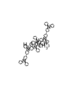 CC1(C)c2cc(N(c3ccccc3)c3ccc(-c4ccc(N(c5ccccc5)c5ccccc5)cc4)cc3)ccc2N(c2ccccc2)c2cc3c(cc21)N(c1ccccc1)c1ccc(N(c2ccccc2)c2ccc(-c4ccc(N(c5ccccc5)c5ccccc5)cc4)cc2)cc1C3(C)C